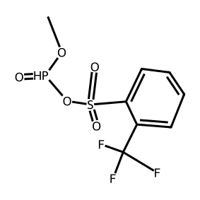 CO[PH](=O)OS(=O)(=O)c1ccccc1C(F)(F)F